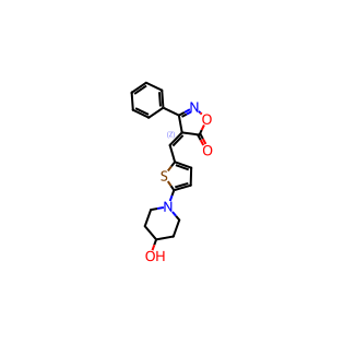 O=C1ON=C(c2ccccc2)/C1=C/c1ccc(N2CCC(O)CC2)s1